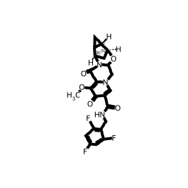 COc1c2n(cc(C(=O)NCc3c(F)cc(F)cc3F)c1=O)CC1O[C@H]3C[C@H](C4C[C@@H]43)N1C2=O